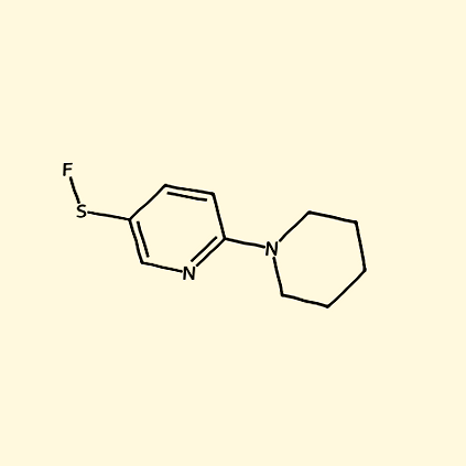 FSc1ccc(N2CCCCC2)nc1